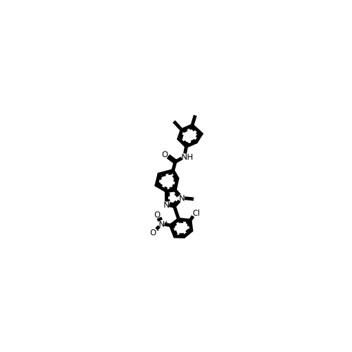 Cc1ccc(NC(=O)c2ccc3nc(-c4c(Cl)cccc4[N+](=O)[O-])n(C)c3c2)cc1C